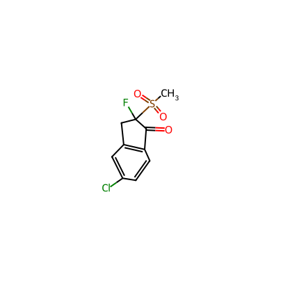 CS(=O)(=O)C1(F)Cc2cc(Cl)ccc2C1=O